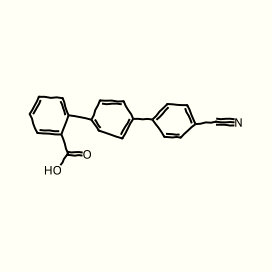 N#Cc1ccc(-c2ccc(-c3ccccc3C(=O)O)cc2)cc1